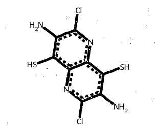 Nc1c(Cl)nc2c(S)c(N)c(Cl)nc2c1S